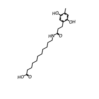 Cc1cc(O)c(CCC(=O)NCCCCCCCCCCC(=O)O)cc1O